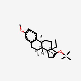 CC[C@]12CC[C@@H]3c4ccc(OC)cc4C[C@@H](C)[C@H]3[C@@H]1CC=C2O[Si](C)(C)C